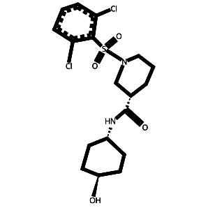 O=C(N[C@H]1CC[C@H](O)CC1)[C@H]1CCCN(S(=O)(=O)c2c(Cl)cccc2Cl)C1